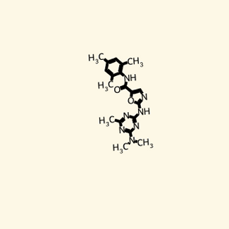 Cc1cc(C)c(NC(=O)c2cnc(Nc3nc(C)nc(N(C)C)n3)o2)c(C)c1